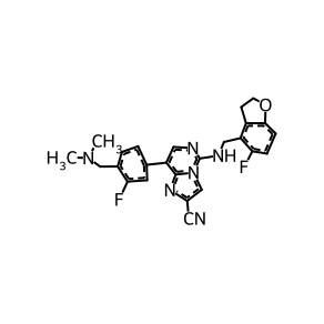 CN(C)Cc1ccc(-c2cnc(NCc3c(F)ccc4c3CCO4)n3cc(C#N)nc23)cc1F